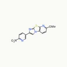 COc1ccc2c(n1)sc1nc(-c3ccc([N+](=O)[O-])nc3)cn12